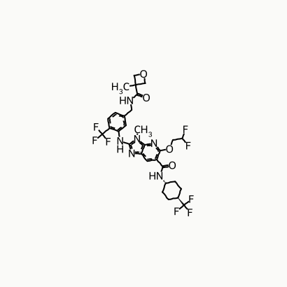 Cn1c(Nc2cc(CNC(=O)C3(C)COC3)ccc2C(F)(F)F)nc2cc(C(=O)N[C@H]3CC[C@H](C(F)(F)F)CC3)c(OCC(F)F)nc21